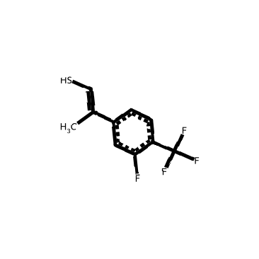 C/C(=C\S)c1ccc(C(F)(F)F)c(F)c1